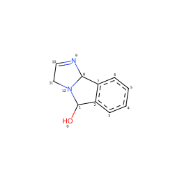 OC1c2ccccc2C2N=CCN12